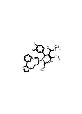 COC(=O)C1=C(C)NC(=O)N(N(C=O)CCCn2ccnc2-c2ccccc2)C1c1ccc(F)c(F)c1.Cl